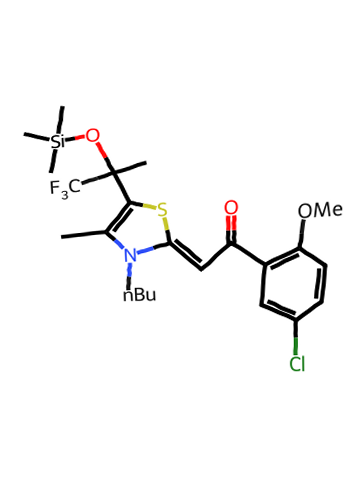 CCCCN1C(C)=C(C(C)(O[Si](C)(C)C)C(F)(F)F)S/C1=C\C(=O)c1cc(Cl)ccc1OC